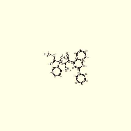 COC(=O)[C@@](C)(c1ccccc1)N(C)C(=O)c1cc(-c2ccccc2)nc2ccccc12